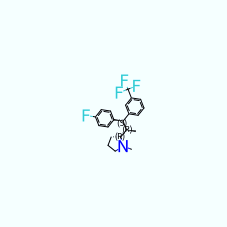 C[C@H]([C@@H](c1ccc(F)cc1)c1cccc(C(F)(F)F)c1)[C@H]1CCCN1C